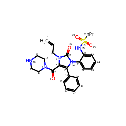 C=CCn1c(C(=O)N2CCNCC2)c(-c2ccccc2)n(-c2ccccc2NS(=O)(=O)CCC)c1=O